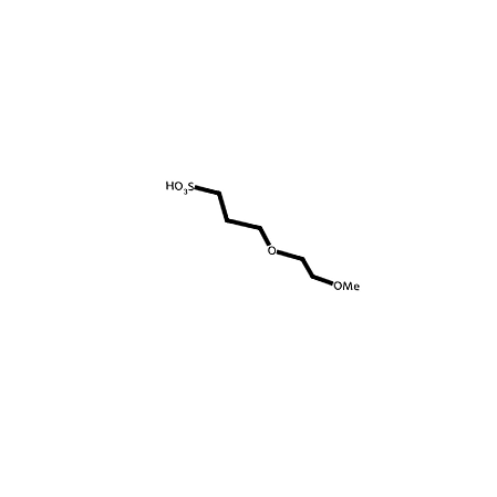 COCCOCCCS(=O)(=O)O